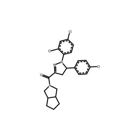 O=C(C1=NN(c2ccc(Cl)cc2Cl)C(c2ccc(Cl)cc2)C1)N1CC2CCCC2C1